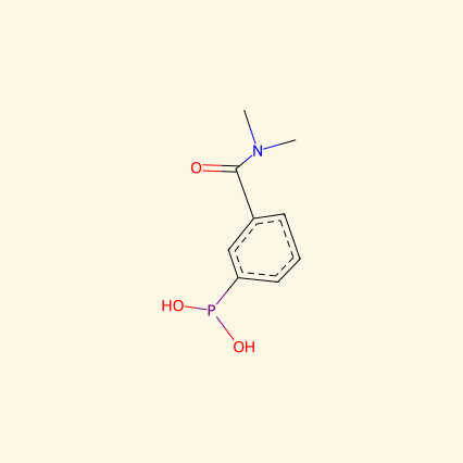 CN(C)C(=O)c1cccc(P(O)O)c1